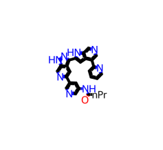 CCCC(=O)Nc1cncc(-c2cc3c(-c4cc5c(-c6ccccn6)cncc5[nH]4)n[nH]c3cn2)c1